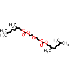 CC(C)=CCCC(C)=CCOC(=O)OCCOCCOC(=O)OCC=C(C)CCC=C(C)C